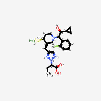 CCC(C(=O)O)n1ncc(/C=C2\CN(C(C(=O)C3CC3)c3ccccc3F)CCC2S)n1.Cl